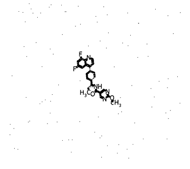 CC[C@@H](NC(=O)c1cnc(OC)nc1)[C@H]1CC[C@@H](c2ccnc3c(F)cc(F)cc32)CC1